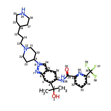 CC(C)(O)c1cc2nn(C3CCN(CCCC4CCNCC4)CC3)cc2cc1NC(=O)c1cccc(C(F)(F)F)n1